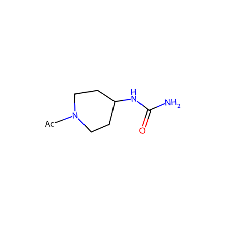 CC(=O)N1CCC(NC(N)=O)CC1